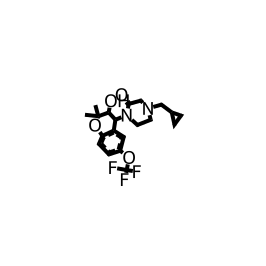 CC1(C)Oc2ccc(OC(F)(F)F)cc2C(N2CCN(CC3CC3)CC2=O)C1O